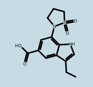 CCc1c[nH]c2c(N3CCCS3(=O)=O)cc(C(=O)O)cc12